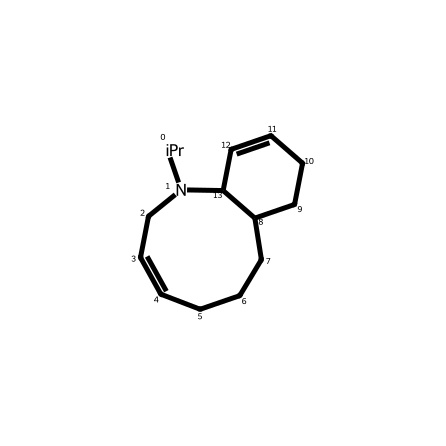 CC(C)N1C/C=C\CCCC2CCC=CC21